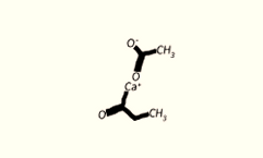 CC(=O)[O-].CC[C](=O)[Ca+]